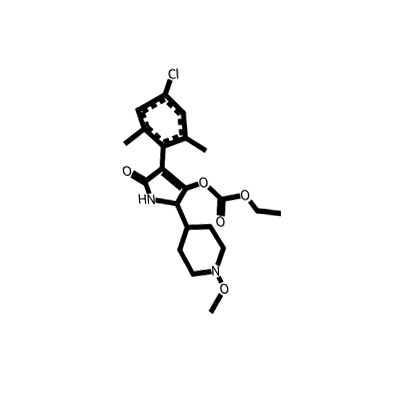 CCOC(=O)OC1=C(c2c(C)cc(Cl)cc2C)C(=O)NC1C1CCN(OC)CC1